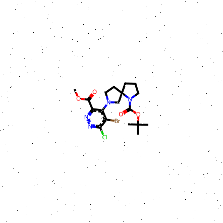 COC(=O)c1nnc(Cl)c(Br)c1N1CCC2(CCCN2C(=O)OC(C)(C)C)C1